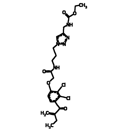 C=C(CC)C(=O)c1ccc(OCC(=O)NCCCn2cc(CNC(=O)OCC)nn2)c(Cl)c1Cl